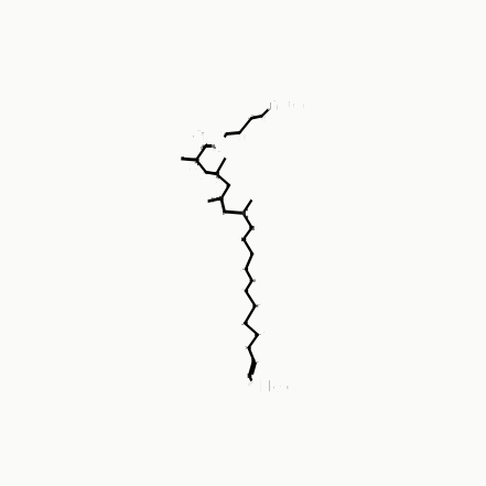 CCCCCCC=CCCCCCCCCCCC(C)CC(C)CC(C)CC(C)C(=O)OCCCCCCCCCCCCCC